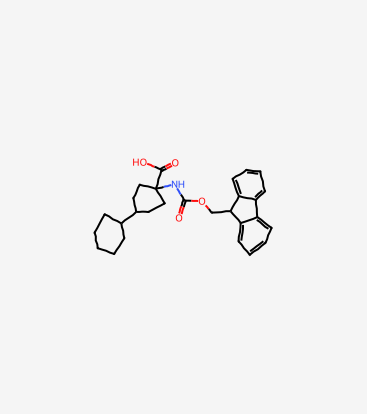 O=C(NC1(C(=O)O)CCC(C2CCCCC2)CC1)OCC1c2ccccc2-c2ccccc21